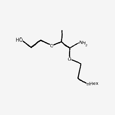 CCCCCCCCOC(N)C(C)OCCO